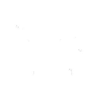 NOOSc1cc2c(cc1Cl)NCNS2(=O)=O